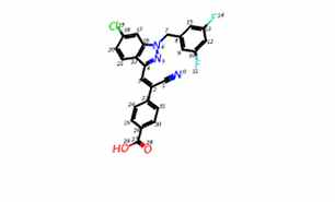 N#C/C(=C\c1nn(Cc2cc(F)cc(F)c2)c2cc(Cl)ccc12)c1ccc(C(=O)O)cc1